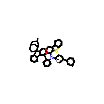 CC1C=C2CC(CCC23c2ccccc2-c2c(-c4ccccc4N(c4ccc(-c5ccccc5)cc4)c4cccc5c4sc4ccccc45)cccc23)C1